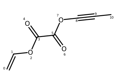 C=COC(=O)C(=O)OC#CC